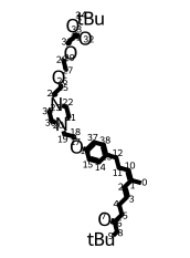 C/C(C=CCCC(=O)CC(C)(C)C)=C/CCc1ccc(OCCN2CCN(CCOCCOCC(=O)OC(C)(C)C)CC2)cc1